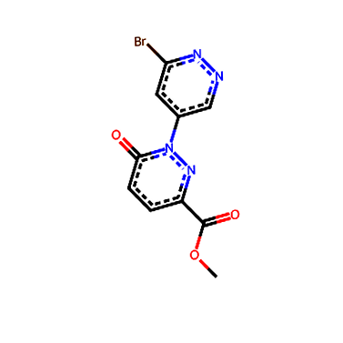 COC(=O)c1ccc(=O)n(-c2cnnc(Br)c2)n1